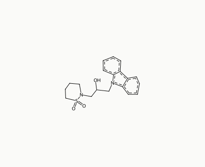 O=S1(=O)CCCCN1CC(O)Cn1c2ccccc2c2ccccc21